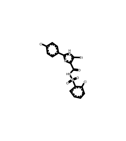 CCc1[nH]c(-c2ccc(Cl)cc2)nc1C(=O)NS(=O)(=O)c1ccccc1Cl